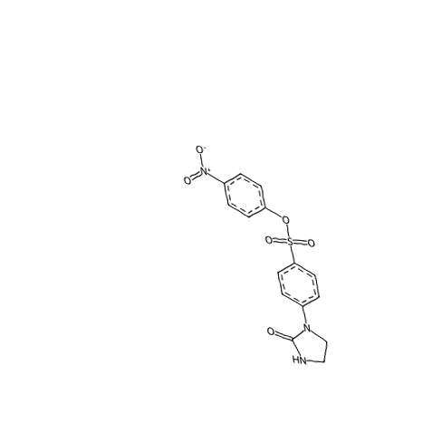 O=C1NCCN1c1ccc(S(=O)(=O)Oc2ccc([N+](=O)[O-])cc2)cc1